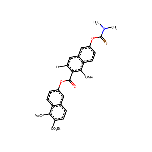 CCOC(=O)c1ccc2cc(OC(=O)c3c(CC)cc4cc(OC(=S)N(C)C)ccc4c3OC)ccc2c1OC